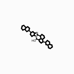 OC1c2ccc(-c3ccc4ccccc4c3)c3cccc(c23)-c2nc3cc(-c4ccc5ccccc5c4)ccc3n21